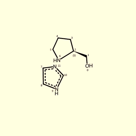 OC[C@@H]1CCCN1.c1c[nH]cn1